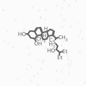 CCC(CC)[C@H](O)CSC(C)C1=CC[C@H]2C3=CC=C4CC(O)CC(O)[C@]4(C)[C@H]3CC[C@]12C